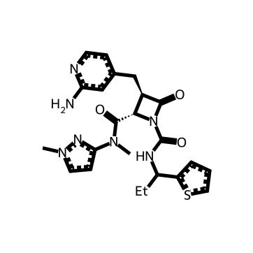 CCC(NC(=O)N1C(=O)[C@H](Cc2ccnc(N)c2)[C@H]1C(=O)N(C)c1ccn(C)n1)c1cccs1